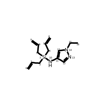 C=CC[Si](CC=C)(CC=C)Nc1cnn(CC)c1